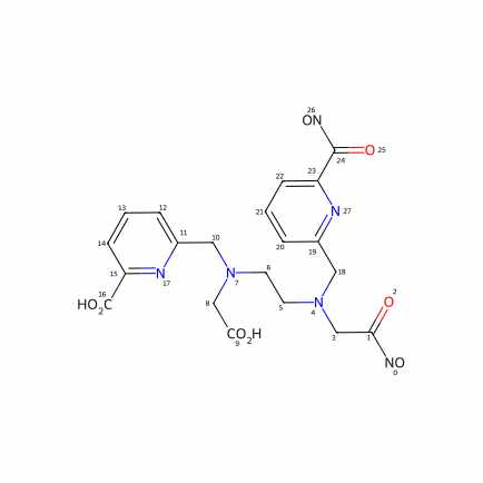 O=NC(=O)CN(CCN(CC(=O)O)Cc1cccc(C(=O)O)n1)Cc1cccc(C(=O)N=O)n1